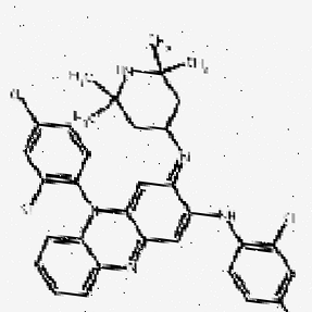 CC1(C)CC(N=c2cc3n(-c4ccc(Cl)cc4Cl)c4ccccc4nc-3cc2Nc2ccc(Cl)cc2Cl)CC(C)(C)N1